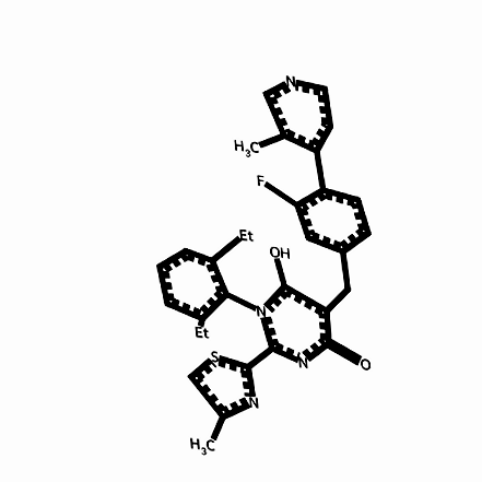 CCc1cccc(CC)c1-n1c(-c2nc(C)cs2)nc(=O)c(Cc2ccc(-c3ccncc3C)c(F)c2)c1O